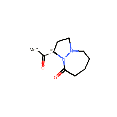 COC(=O)[C@@H]1CCN2CCCCC(=O)N12